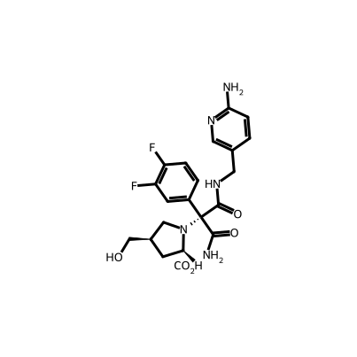 NC(=O)[C@](C(=O)NCc1ccc(N)nc1)(c1ccc(F)c(F)c1)N1C[C@H](CO)C[C@@H]1C(=O)O